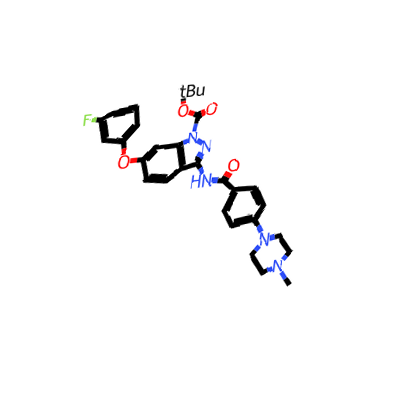 CN1CCN(c2ccc(C(=O)Nc3nn(C(=O)OC(C)(C)C)c4cc(Oc5cccc(F)c5)ccc34)cc2)CC1